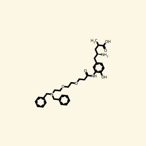 CC(C[C@@H](N)Cc1ccc(O)c(NC(=O)CCOCCOCCN(Cc2ccccc2)Cc2ccccc2)c1)C(=O)O